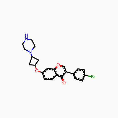 O=c1c(-c2ccc(Br)cc2)coc2cc(OC3CC(N4CCNCC4)C3)ccc12